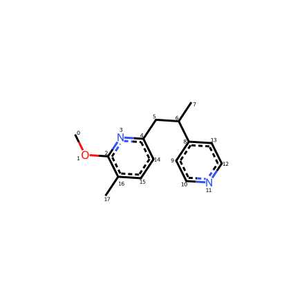 COc1nc(CC(C)c2ccncc2)ccc1C